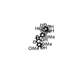 COc1cc(C(=O)C2COC(c3cc(OC)c(O[C@@H]4O[C@H](CO)[C@@H](O)[C@H](O)[C@H]4O)c(OC)c3)C2CO)cc(OC)c1O